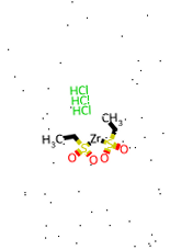 CC[S](=O)(=O)[Zr][S](=O)(=O)CC.Cl.Cl.Cl